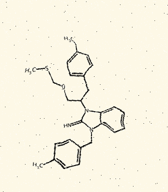 CSCOCC(Cc1ccc(C)cc1)n1c(=N)n(Cc2ccc(C)cc2)c2ccccc21